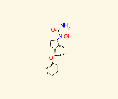 NC(=O)N(O)C1CCc2c(Oc3ccccc3)cccc21